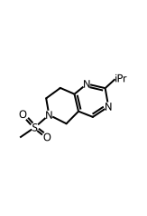 CC(C)c1ncc2c(n1)CCN(S(C)(=O)=O)C2